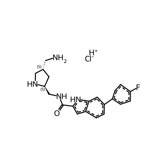 NC[C@H]1CN[C@H](CNC(=O)c2cc3ccc(-c4ccc(F)cc4)cc3[nH]2)C1.[Cl-].[H+]